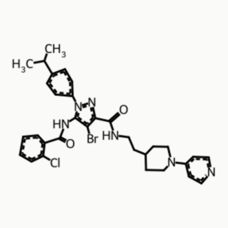 CC(C)c1ccc(-n2nc(C(=O)NCCC3CCN(c4ccncc4)CC3)c(Br)c2NC(=O)c2ccccc2Cl)cc1